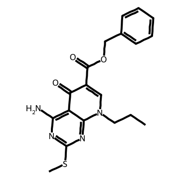 CCCn1cc(C(=O)OCc2ccccc2)c(=O)c2c(N)nc(SC)nc21